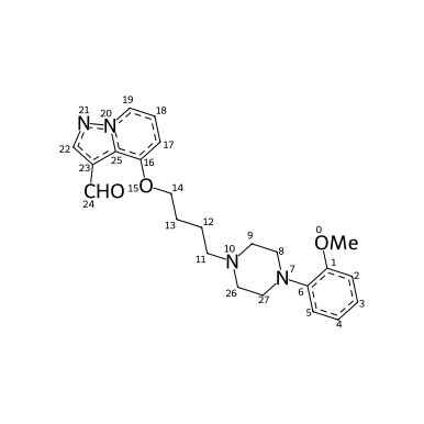 COc1ccccc1N1CCN(CCCCOc2cccn3ncc(C=O)c23)CC1